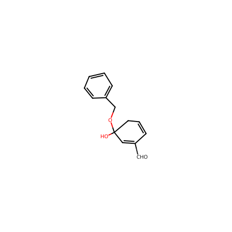 O=CC1=CC(O)(OCc2ccccc2)CC=C1